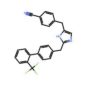 N#Cc1ccc(Cc2cnc(Cc3ccc(-c4ccccc4C(F)(F)F)cc3)[nH]2)cc1